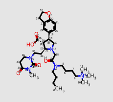 CCCCN(CCCC[N+](C)(C)C)C(=O)CN1C[C@H](c2ccc3c(c2)CCO3)[C@@H](C(=O)O)[C@@H]1CCN1CCC(=O)N(C)C1=O